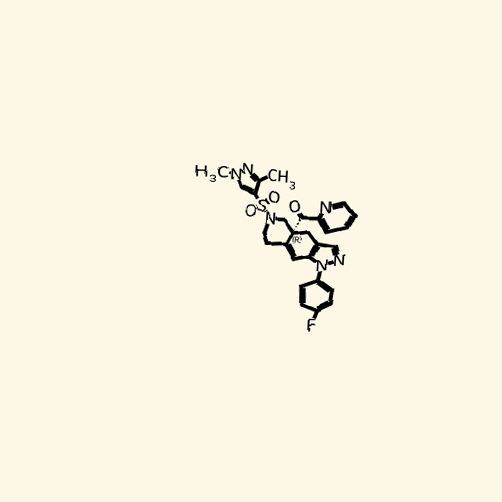 Cc1nn(C)cc1S(=O)(=O)N1CCC2=Cc3c(cnn3-c3ccc(F)cc3)C[C@]2(C(=O)c2ccccn2)C1